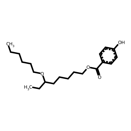 CCCCCCOC(CC)CCCCCOC(=O)c1ccc(O)cc1